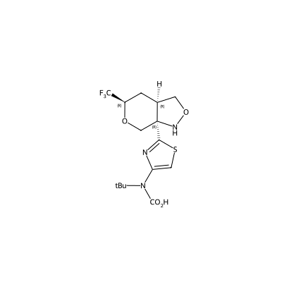 CC(C)(C)N(C(=O)O)c1csc([C@]23CO[C@@H](C(F)(F)F)C[C@H]2CON3)n1